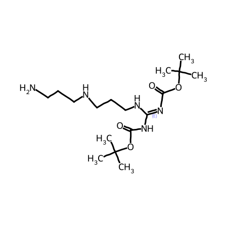 CC(C)(C)OC(=O)/N=C(\NCCCNCCCN)NC(=O)OC(C)(C)C